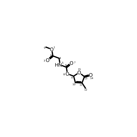 COC(=O)CNC(=O)OC1C=C(C)C(=O)O1